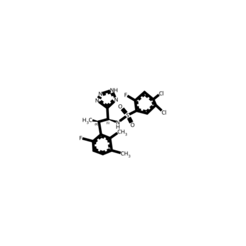 Cc1ccc(F)c([C@@H](C)[C@H](NS(=O)(=O)c2cc(Cl)c(Cl)cc2F)c2nn[nH]n2)c1C